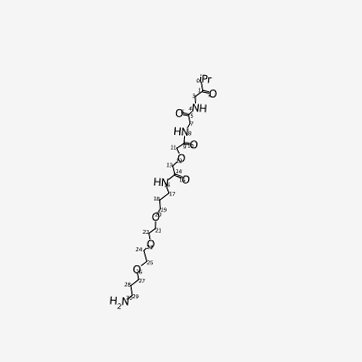 CC(C)C(=O)CNC(=O)CNC(=O)COCC(=O)NCCCOCCOCCOCCCN